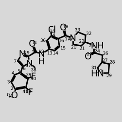 COc1ccc(-c2cnc(C(=O)Nc3ccc(C(=O)N4CCC(NC(=O)CC5CCNC5)CC4)c(Cl)c3)n2C)c(F)c1F